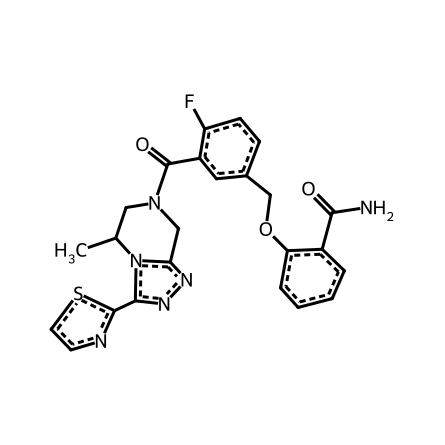 CC1CN(C(=O)c2cc(COc3ccccc3C(N)=O)ccc2F)Cc2nnc(-c3nccs3)n21